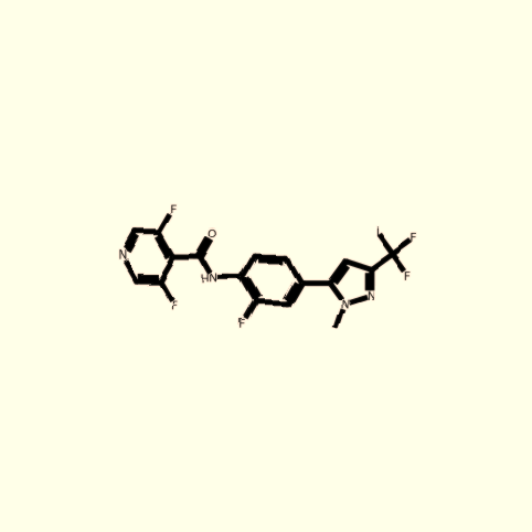 Cn1nc(C(F)(F)I)cc1-c1ccc(NC(=O)c2c(F)cncc2F)c(F)c1